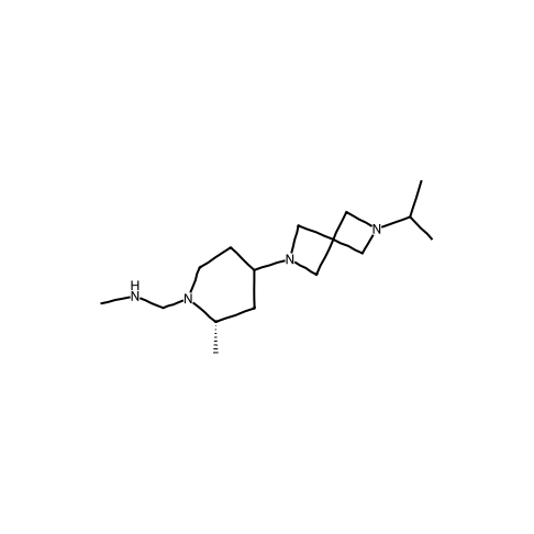 CNCN1CCC(N2CC3(CN(C(C)C)C3)C2)C[C@@H]1C